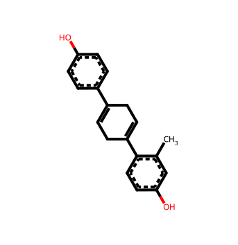 Cc1cc(O)ccc1C1=CCC(c2ccc(O)cc2)=CC1